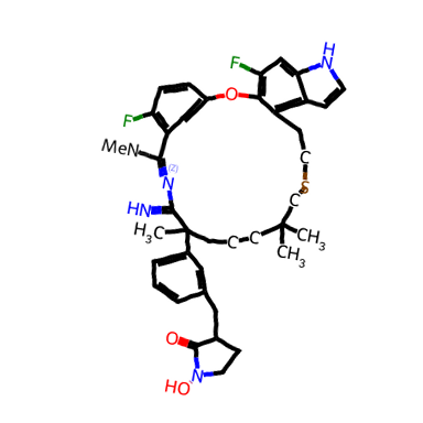 CN/C1=N\C(=N)C(C)(c2cccc(CC3CCN(O)C3=O)c2)CCCC(C)(C)CSCCc2c(c(F)cc3[nH]ccc23)Oc2ccc(F)c1c2